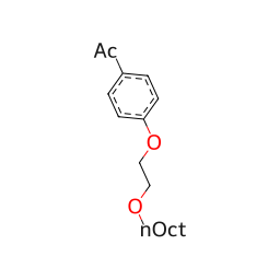 CCCCCCCCOCCOc1ccc(C(C)=O)cc1